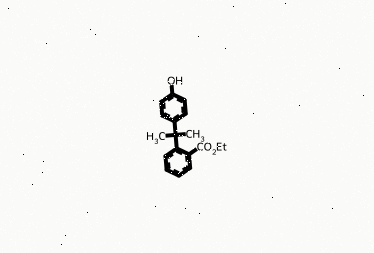 CCOC(=O)c1ccccc1C(C)(C)c1ccc(O)cc1